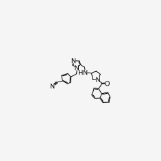 N#Cc1ccc(Cn2cncc2CNC2CCN(C(=O)c3cccc4ccccc34)C2)cc1